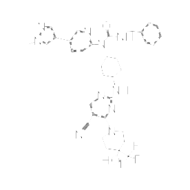 Cn1cc(-c2ccc(N(C(=O)NCc3ccccc3)[C@H]3CC[C@H](Nc4ncc(C#N)c(N5CCC(O)(C(F)(F)F)CC5)n4)CC3)nc2)cn1